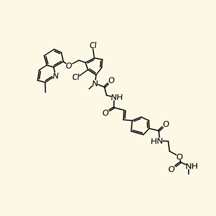 CNC(=O)OCCNC(=O)c1ccc(C=CC(=O)NCC(=O)N(C)c2ccc(Cl)c(COc3cccc4ccc(C)nc34)c2Cl)cc1